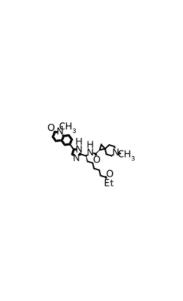 CCC(=O)CCCCC[C@H](NC(=O)[C@H]1CC12CCN(C)CC2)c1ncc(-c2ccc3c(ccc(=O)n3C)c2)[nH]1